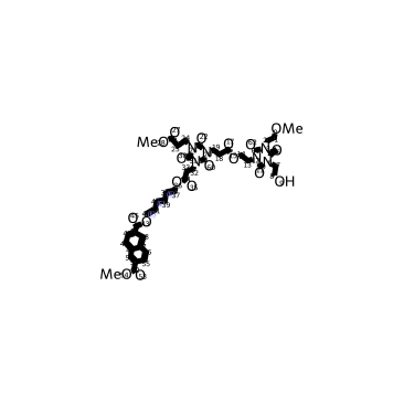 COCCn1c(=O)n(CCO)c(=O)n(CCOC(=O)CCn2c(=O)n(CCC(=O)OC)c(=O)n(CCC(=O)O/C=C/C=C/C=C/OC(=O)c3ccc4cc(C(=O)OC)ccc4c3)c2=O)c1=O